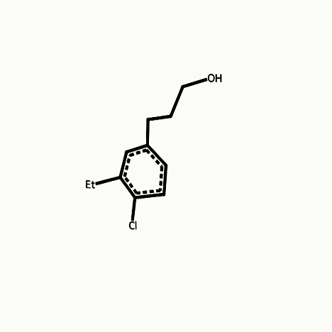 CCc1cc(CCCO)ccc1Cl